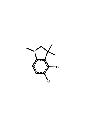 CN1CC(C)(C)c2c1ccc(Cl)c2Br